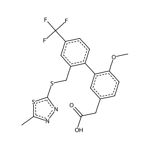 COc1ccc(CC(=O)O)cc1-c1ccc(C(F)(F)F)cc1CSc1nnc(C)s1